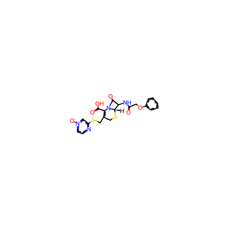 O=C(COc1ccccc1)NC1C(=O)N2C(C(=O)O)=C(CSc3c[n+]([O-])ccn3)CS[C@@H]12